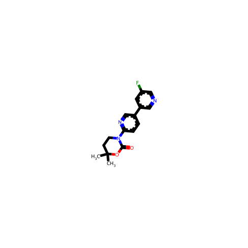 CC1(C)CCN(c2ccc(-c3cncc(F)c3)cn2)C(=O)O1